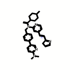 C=C(C1CCC(C)CC1)N(Cc1ccc(-c2ccc(N(C)C)nc2)cc1)c1cc(/C=C/C2=NC=CC2)ccn1